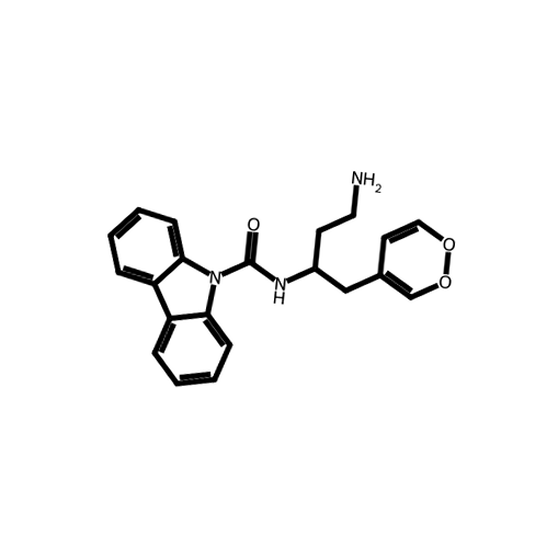 NCCC(CC1=COOC=C1)NC(=O)n1c2ccccc2c2ccccc21